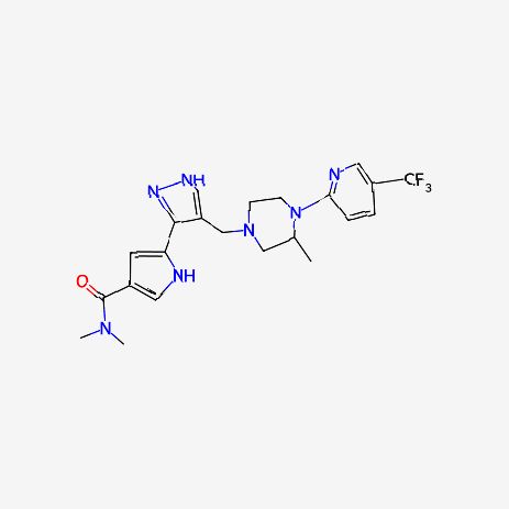 CC1CN(Cc2c[nH]nc2-c2cc(C(=O)N(C)C)c[nH]2)CCN1c1ccc(C(F)(F)F)cn1